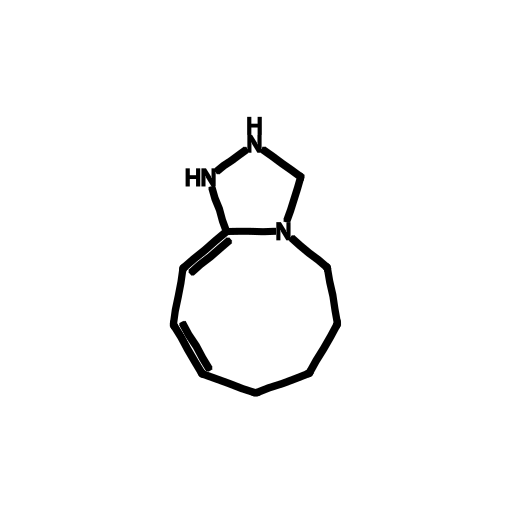 C1=CCCCCN2CNNC2=C1